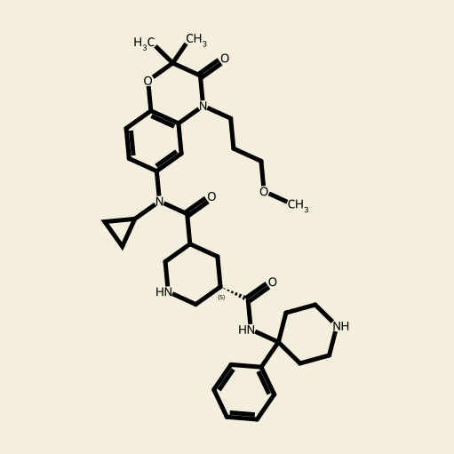 COCCCN1C(=O)C(C)(C)Oc2ccc(N(C(=O)C3CNC[C@@H](C(=O)NC4(c5ccccc5)CCNCC4)C3)C3CC3)cc21